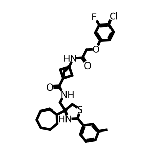 Cc1cccc(C2NC(CNC(=O)C34CC(NC(=O)COc5ccc(Cl)c(F)c5)(C3)C4)(C3CCCCCC3)CS2)c1